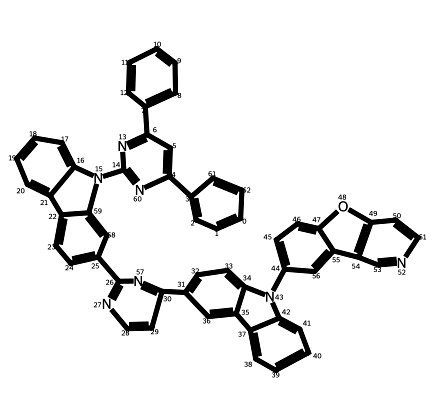 c1ccc(-c2cc(-c3ccccc3)nc(-n3c4ccccc4c4ccc(-c5nccc(-c6ccc7c(c6)c6ccccc6n7-c6ccc7oc8ccncc8c7c6)n5)cc43)n2)cc1